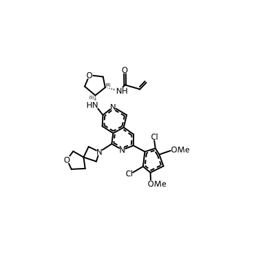 C=CC(=O)N[C@H]1COC[C@H]1Nc1cc2c(N3CC4(CCOC4)C3)nc(-c3c(Cl)c(OC)cc(OC)c3Cl)cc2cn1